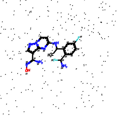 CC(Nc1ccn2ncc(/C(N)=N/O)c2n1)c1cc(F)ccc1C(N)F